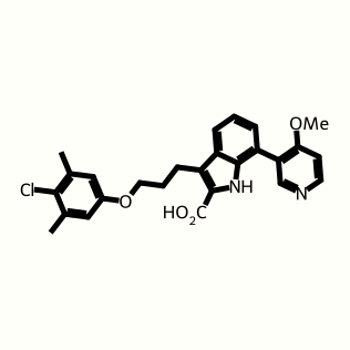 COc1ccncc1-c1cccc2c(CCCOc3cc(C)c(Cl)c(C)c3)c(C(=O)O)[nH]c12